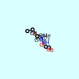 COc1cc(OCc2cccc(-c3ccccc3)c2C)cc(OC)c1CN(C)CCN[S+]([O-])c1ccc2oc(=O)ccc2c1